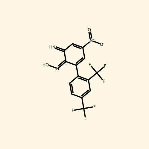 N=C1C=C([N+](=O)[O-])C=C(c2ccc(C(F)(F)F)cc2C(F)(F)F)/C1=N/O